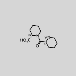 O=C(O)[C@@H]1CCCCN1C(=O)[C@@H]1CCCCN1